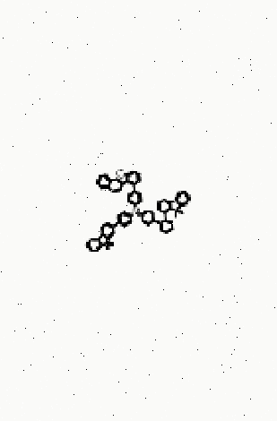 CC1(C)c2ccccc2-c2ccc(-c3ccc(N(c4ccc(-c5ccccc5-c5cccc6c5C(C)(C)c5ccccc5-6)cc4)c4ccc(-c5cccc6oc7c8ccccc8ccc7c56)cc4)cc3)cc21